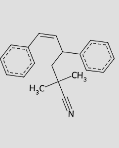 CC(C)(C#N)CC(/C=C\c1ccccc1)c1ccccc1